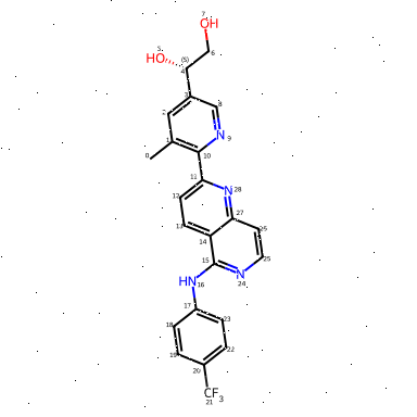 Cc1cc([C@H](O)CO)cnc1-c1ccc2c(Nc3ccc(C(F)(F)F)cc3)nccc2n1